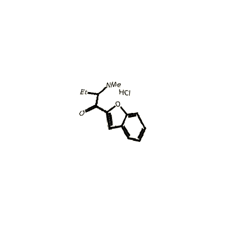 CCC(NC)C(=O)c1cc2ccccc2o1.Cl